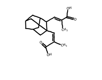 CC(=CC1C2CC3CC(C2)CC1(C=C(C)C(=O)O)C3)C(=O)O